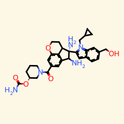 NC(=O)O[C@@H]1CCCN(C(=O)c2cc3c4c(c2)C(N)[C@](N)(c2cc5ccc(CO)cc5n2CC2CC2)C4CCO3)C1